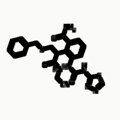 N#CCNC(=O)C(CSCc1ccccc1)c1c(NC(=O)Nc2nncs2)cccc1C(N)=O